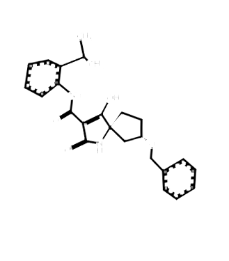 CC(C)c1ccccc1NC(=O)C1=C(O)[C@@]2(CC[C@H](OCc3ccccc3)C2)NC1=O